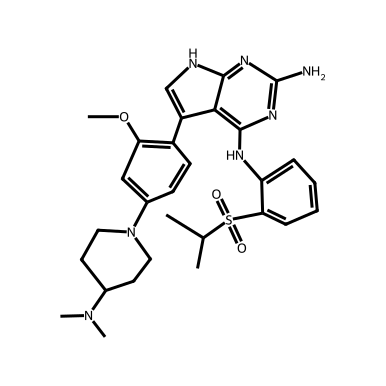 COc1cc(N2CCC(N(C)C)CC2)ccc1-c1c[nH]c2nc(N)nc(Nc3ccccc3S(=O)(=O)C(C)C)c12